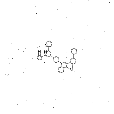 c1ccc(-c2ccc3c(c2)-c2cc(-c4ccc(-c5cc(-c6ccccn6)nc(-c6ccc[nH]6)c5)cc4)c4ccccc4c2C2CC32)cc1